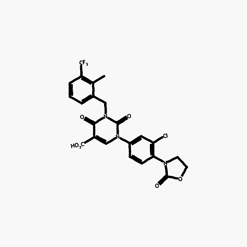 Cc1c(Cn2c(=O)c(C(=O)O)cn(-c3ccc(N4CCOC4=O)c(Cl)c3)c2=O)cccc1C(F)(F)F